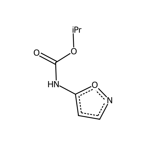 CC(C)OC(=O)Nc1ccno1